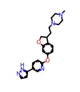 CN1CCN(CCC2COc3cc(Oc4ccc(-c5ccn[nH]5)cn4)ccc32)CC1